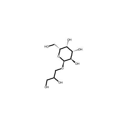 OCC(O)CO[C@H]1O[C@H](CO)[C@H](O)[C@H](O)[C@H]1O